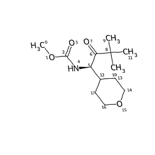 COC(=O)N[C@@H](C(=O)C(C)(C)C)C1CCOCC1